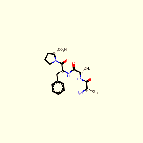 C[C@H](N)C(=O)N[C@@H](C)C(=O)N[C@@H](Cc1ccccc1)C(=O)N1CCC[C@@H]1C(=O)O